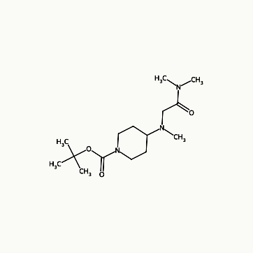 CN(C)C(=O)CN(C)C1CCN(C(=O)OC(C)(C)C)CC1